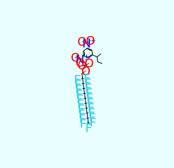 CCC(C)c1cc([N+](=O)[O-])cc([N+](=O)[O-])c1OC(=O)OCC(F)(F)C(F)(F)C(F)(F)C(F)(F)C(F)(F)C(F)(F)C(F)(F)C(F)(F)C(F)(F)C(F)(F)F